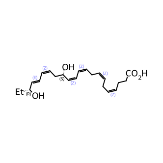 CC[C@@H](O)/C=C/C=C\C[C@H](O)/C=C\C=C/C/C=C\C/C=C\CCC(=O)O